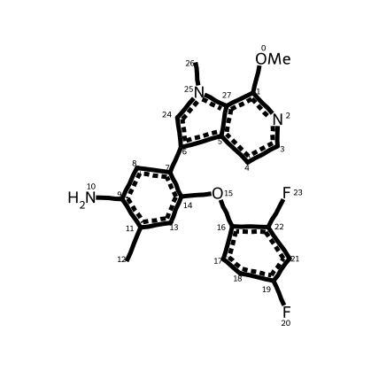 COc1nccc2c(-c3cc(N)c(C)cc3Oc3ccc(F)cc3F)cn(C)c12